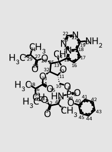 COC(=O)[C@H](C)NP(=O)(OC[C@H]1O[C@@](C)(c2ccc3c(N)ncnn23)[C@H](OC(=O)C(C)C)[C@@H]1OC(=O)C(C)C)Oc1ccccc1